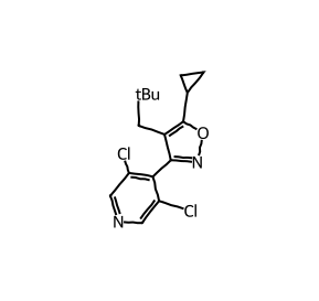 CC(C)(C)Cc1c(-c2c(Cl)cncc2Cl)noc1C1CC1